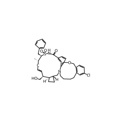 C[C@H]1C/C=C/[C@H](CO)[C@@H]2CC[C@H]2CN2CCCCc3cc(Cl)ccc3COc3ccc(cc32)C(=O)NS(=O)(=O)[C@@H]1Cc1ccccc1